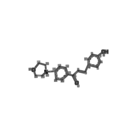 O=C(C=Cc1ccc(O)cc1)c1ccc(N2CCOCC2)cc1